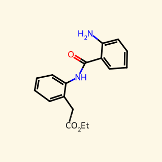 CCOC(=O)Cc1ccccc1NC(=O)c1ccccc1N